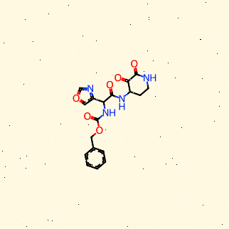 O=C(NC(C(=O)NC1CCNC(=O)C1=O)c1cocn1)OCc1ccccc1